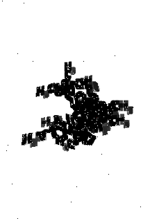 CCO[Si](CCCC(CCC[Si](OCC)(OCC)OCC)(CCC(CCC1(CN)CCCC(CN)C1)[Si]1(OCC)CCCC1[Si](C)(C)C)N1CCC[Si]1(OCC)OCC)(OCC)OCC